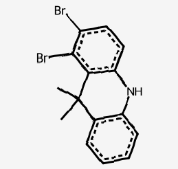 CC1(C)c2ccccc2Nc2ccc(Br)c(Br)c21